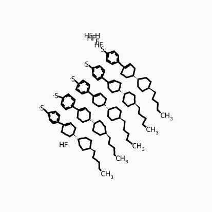 CCCCC[C@H]1CC[C@H](C2CC=C(c3ccc([S])cc3)CC2)CC1.CCCCC[C@H]1CC[C@H](C2CC=C(c3ccc([S])cc3)CC2)CC1.CCCCC[C@H]1CC[C@H](C2CC=C(c3ccc([S])cc3)CC2)CC1.CCCCC[C@H]1CC[C@H](C2CC=C(c3ccc([S])cc3)CC2)CC1.CCCCC[C@H]1CC[C@H](C2CC=C(c3ccc([S])cc3)CC2)CC1.F.F.F.F.F